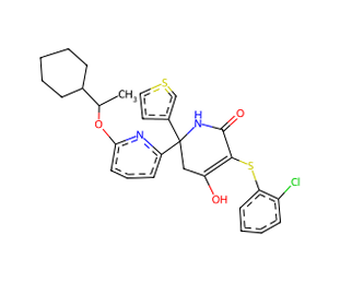 CC(Oc1cccc(C2(c3ccsc3)CC(O)=C(Sc3ccccc3Cl)C(=O)N2)n1)C1CCCCC1